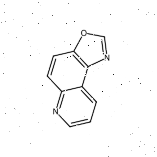 c1cnc2ccc3ocnc3c2c1